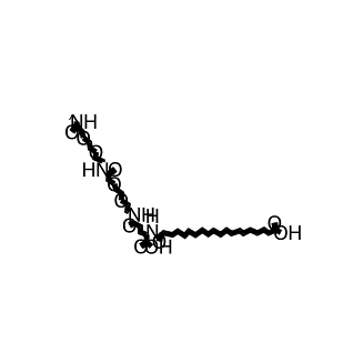 CNC(=O)COCCOCCNC(=O)COCCOCCNC(=O)CCC(NC(=O)CCCCCCCCCCCCCCCCCCC(=O)O)C(=O)O